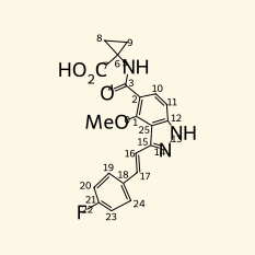 COc1c(C(=O)NC2(C(=O)O)CC2)ccc2[nH]nc(/C=C/c3ccc(F)cc3)c12